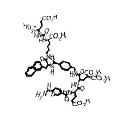 NNc1ccc(C(=O)NC(CCC(=O)O)C(=O)NC(CC(C(=O)O)C(=O)O)C(=O)NCC2CCC(C(=O)NC(Cc3ccc4ccccc4c3)C(=O)NCCCCC(NC(=O)NC(CCC(=O)O)C(=O)O)C(=O)O)CC2)cn1